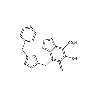 O=C(O)c1c(O)c(=O)n(Cc2cnn(Cc3ccncc3)c2)c2ccsc12